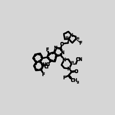 C=C(F)C(=O)N1CCN(c2nc(OC[C@@]34CCCN3C[C@H](F)C4)nc3c(F)c(-c4cccc5ccc(F)c(Cl)c45)c(O)cc23)C[C@@H]1CC#N